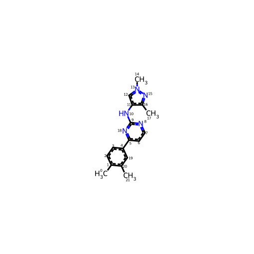 Cc1ccc(-c2ccnc(Nc3cn(C)nc3C)n2)cc1C